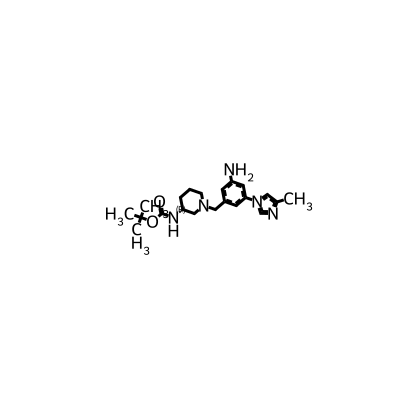 Cc1cn(-c2cc(N)cc(CN3CCC[C@@H](NC(=O)OC(C)(C)C)C3)c2)cn1